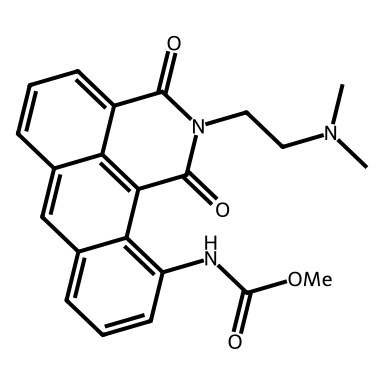 COC(=O)Nc1cccc2cc3cccc4c3c(c12)C(=O)N(CCN(C)C)C4=O